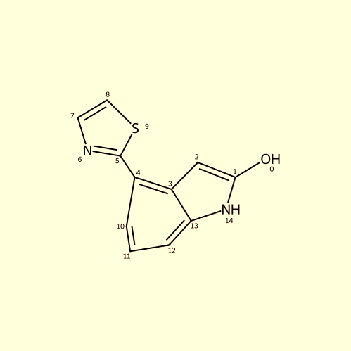 Oc1cc2c(-c3nccs3)cccc2[nH]1